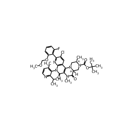 COCOc1cccc(F)c1-c1nc2c(cc1Cl)c1c(c(=O)n2-c2c(C)ccnc2C(C)C)N(C)C(=O)[C@H]2CN(C(=O)OC(C)(C)C)[C@H](C)CN12